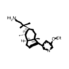 CCOc1cncc(C2=CC[C@H]3[C@H](C)[C@@H](C(C)(C)CCN)CC[C@]23C)c1